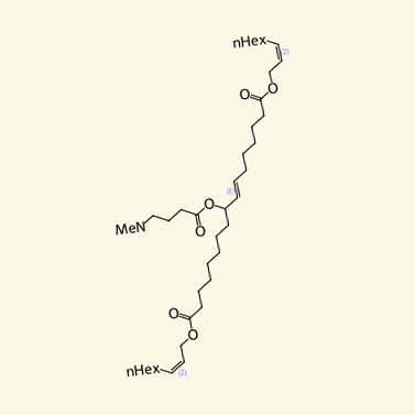 CCCCCC/C=C\COC(=O)CCCCC/C=C/C(CCCCCCCC(=O)OC/C=C\CCCCCC)OC(=O)CCCNC